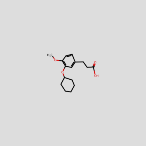 COc1ccc(CCC(=O)O)cc1OC1CCCCC1